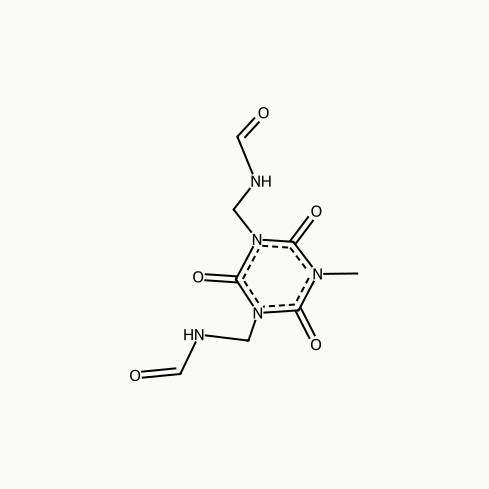 Cn1c(=O)n(CNC=O)c(=O)n(CNC=O)c1=O